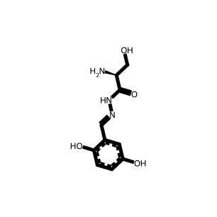 N[C@@H](CO)C(=O)NN=Cc1cc(O)ccc1O